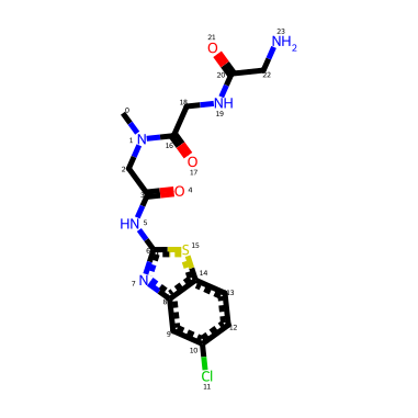 CN(CC(=O)Nc1nc2cc(Cl)ccc2s1)C(=O)CNC(=O)CN